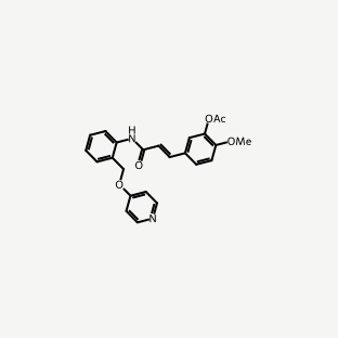 COc1ccc(C=CC(=O)Nc2ccccc2COc2ccncc2)cc1OC(C)=O